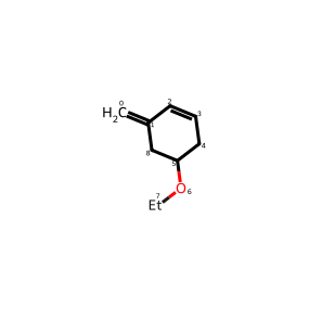 C=C1C=CCC(OCC)C1